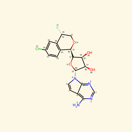 Nc1ncnc2c1ccn2[C@@H]1OC([C@@H]2OC[C@@H](F)c3cc(Cl)ccc32)[C@@H](O)[C@H]1O